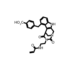 C=CC(=O)NCCN1C(=O)C2CN(Cc3[nH]c4cccc(Cc5ccc(C(=O)O)cc5)c4c32)C1=O